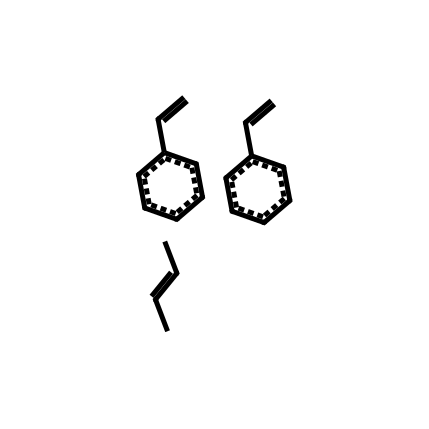 C=Cc1ccccc1.C=Cc1ccccc1.CC=CC